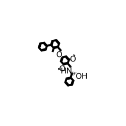 COc1cc(OCc2cccc(-c3ccccc3)c2C)cc(OC)c1CN[C@H](CO)c1ccccc1